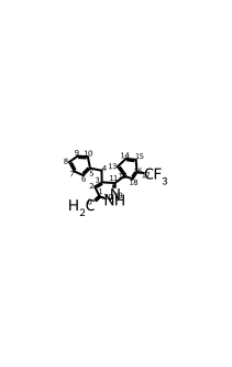 C=C1C=C(Cc2ccccc2)C(c2cccc(C(F)(F)F)c2)=NN1